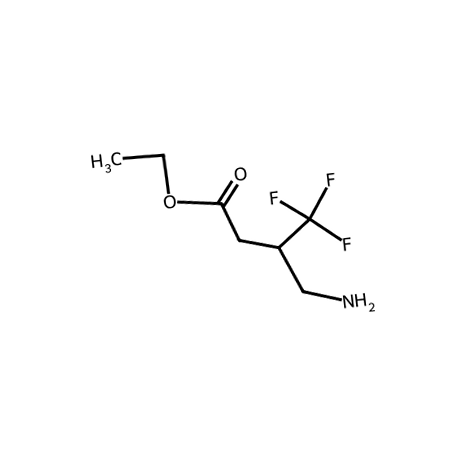 CCOC(=O)CC(CN)C(F)(F)F